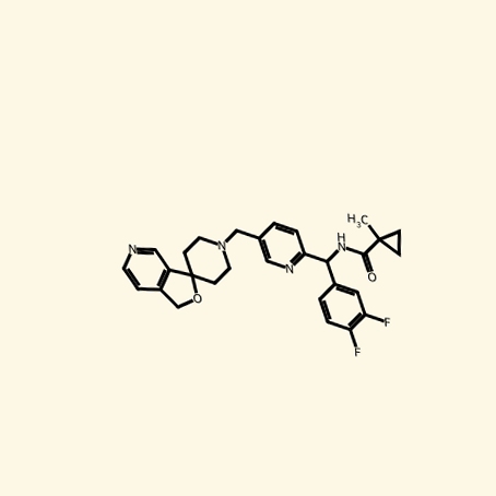 CC1(C(=O)NC(c2ccc(F)c(F)c2)c2ccc(CN3CCC4(CC3)OCc3ccncc34)cn2)CC1